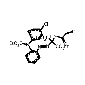 CCOC(=O)N(c1ccc(Cl)cc1)c1ccccc1/N=N/C(NC(=O)CCl)(C(=O)OCC)C(=O)OCC